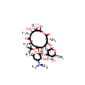 [2H]C([2H])([2H])O[C@]1(C)C[C@@H](C)C(=O)[C@H](C)[C@@H](O)[C@](C)(O)[C@@H](CC)OC(=O)[C@H](C)[C@@H](O[C@H]2C[C@@](C)(OC)[C@@H](O)[C@H](C)O2)[C@H](C)[C@H]1O[C@@H]1O[C@H](C)C[C@H](N(C)C)[C@H]1O